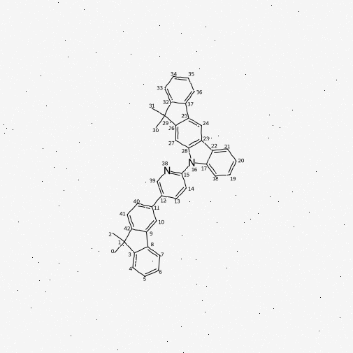 CC1(C)c2ccccc2-c2cc(-c3ccc(-n4c5ccccc5c5cc6c(cc54)C(C)(C)c4ccccc4-6)nc3)ccc21